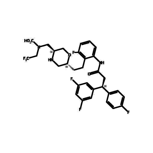 O=C(C[C@@H](c1ccc(F)cc1)c1cc(F)cc(F)c1)Nc1cccc(F)c1CC[C@@H]1CN[C@@H](CN(CC(F)(F)F)C(=O)O)CO1